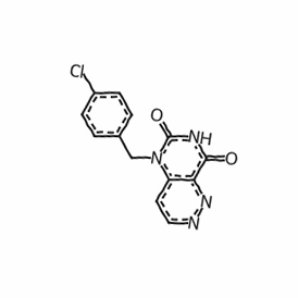 O=c1[nH]c(=O)n(Cc2ccc(Cl)cc2)c2ccnnc12